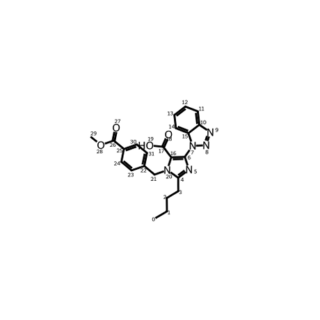 CCCCc1nc(-n2nnc3ccccc32)c(C(=O)O)n1Cc1ccc(C(=O)OC)cc1